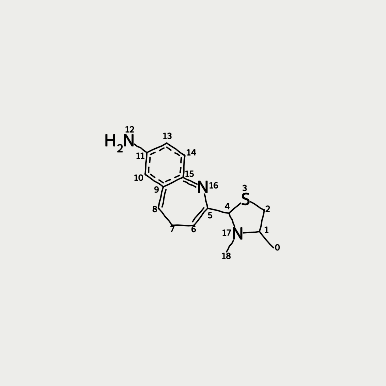 CC1CSC(C2=CCC=c3cc(N)ccc3=N2)N1C